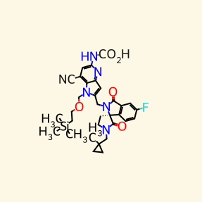 CC1(CN2CC[C@@]3(C2=O)c2ccc(F)cc2C(=O)N3Cc2cc3nc(NC(=O)O)cc(C#N)c3n2COCC[Si](C)(C)C)CC1